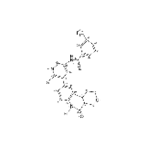 CCN1C(=O)C2COCCC2c2cc(-c3cc(NC(=O)c4cccc(C(F)(F)F)c4)cnc3C)cnc21